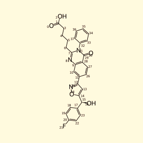 O=C(O)CCCCc1nc2cc(-c3cc([C@@H](O)c4ccc(F)cc4)on3)ccc2c(=O)n1-c1ccccc1